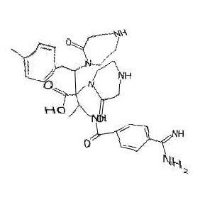 Cc1ccc(C(N2CCNCC2=O)C(C(=O)O)(C(C)NC(=O)c2ccc(C(=N)N)cc2)N2CCNCC2=O)cc1